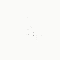 CCCNP(=O)(NCCC)N1CCC[C@H](N)C1=O